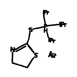 CC(C)[PH](SC1=NCCS1)(C(C)C)C(C)C.[Au]